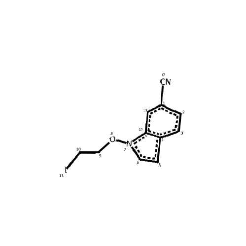 N#Cc1ccc2ccn(OCCI)c2c1